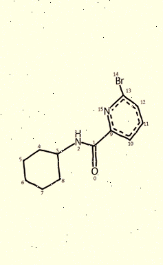 O=C(NC1CCCCC1)c1cccc(Br)n1